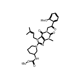 COc1ccccc1C(=O)Cn1c(=O)c2c(nc(N3CCCC(NC(=O)OC(C)(C)C)C3)n2CC=C(C)C)n(C)c1=O